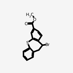 COC(=O)c1ccc2c(c1)Sc1ccccc1CC2Br